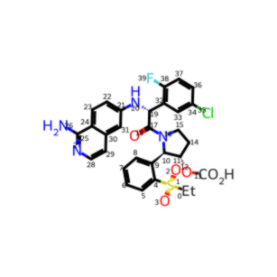 CCS(=O)(=O)c1ccccc1[C@@H]1[C@@H](OC(=O)O)CCN1C(=O)[C@H](Nc1ccc2c(N)nccc2c1)c1cc(Cl)ccc1F